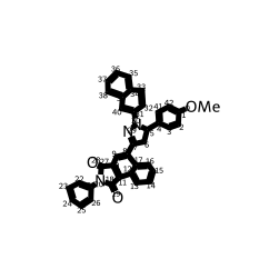 COc1ccc(C2CC(c3cc4c(c5ccccc35)C(=O)N(c3ccccc3)C4=O)=NN2c2ccc3ccccc3c2)cc1